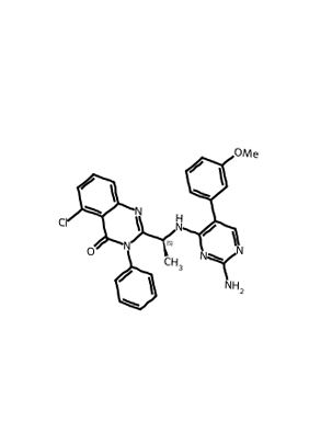 COc1cccc(-c2cnc(N)nc2N[C@@H](C)c2nc3cccc(Cl)c3c(=O)n2-c2ccccc2)c1